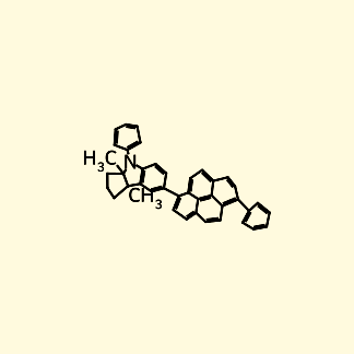 CC12CCCC1(C)N(c1ccccc1)c1ccc(-c3ccc4ccc5c(-c6ccccc6)ccc6ccc3c4c65)cc12